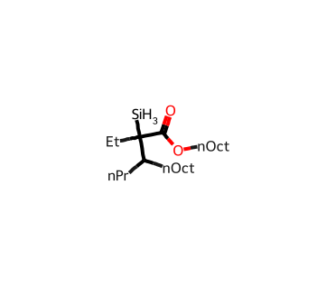 CCCCCCCCOC(=O)C([SiH3])(CC)C(CCC)CCCCCCCC